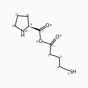 O=C(CCCS)OC(=O)[C@@H]1CCCN1